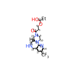 CC[C@@H](O)OCCC(=O)N1CCN2c3ncc(C(F)(F)F)cc3CNC[C@H]2C1